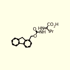 CC(C)[C@@H](NNC(=O)OCc1cccc2c1Cc1ccccc1-2)C(=O)O